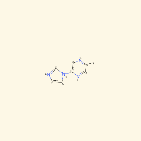 Cc1cnc(-n2ccnc2)cn1